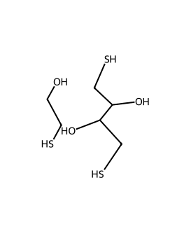 OC(CS)C(O)CS.OCCS